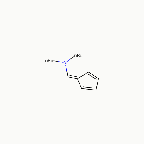 CCCCN(C=C1C=CC=C1)CCCC